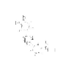 O=C(O)c1cccc(-c2noc(-c3ccc(F)c(F)c3)n2)c1